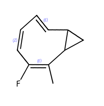 C/C1=C(F)/C=C\C=C\C2CC12